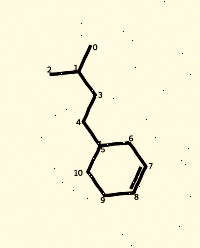 CC(C)CC[C]1CC=CCC1